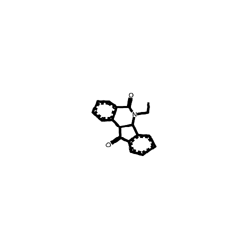 CCN1C(=O)c2ccccc2C2C(=O)c3ccccc3C21